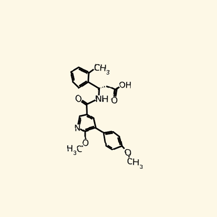 COc1ccc(-c2cc(C(=O)N[C@@H](CC(=O)O)c3ccccc3C)cnc2OC)cc1